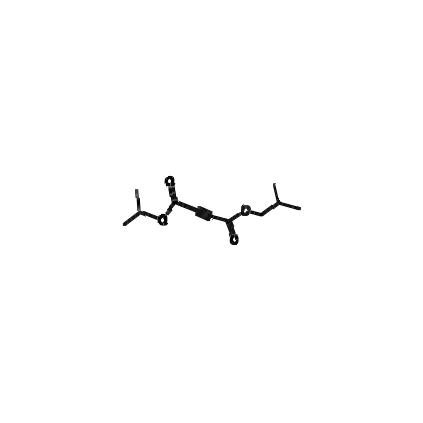 CC(C)COC(=O)C#CC(=O)OC(C)C